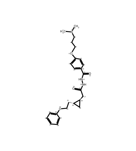 CN(C)CCCOc1ccc(C(=O)NNC(=O)C[C@H]2C[C@@H]2CCOc2ccccc2)cc1